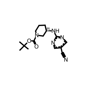 CC(C)(C)OC(=O)N1CCC[C@@H](Nc2ncc(C#N)cn2)C1